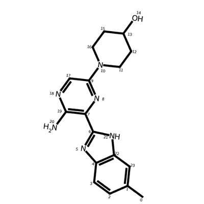 Cc1ccc2nc(-c3nc(N4CCC(O)CC4)cnc3N)[nH]c2c1